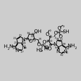 CO[C@H](COP(=O)(S)OC)[C@@H](OP(=O)(S)OC[C@H]1O[C@@H](n2ccc3c(N)ncnc32)C[C@@H]1O)[C@@H](O)n1ccc2c(N)ncnc21